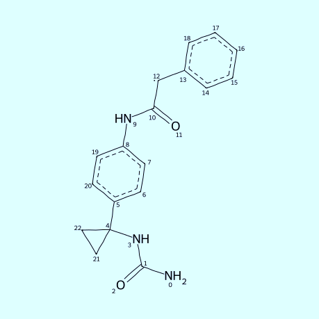 NC(=O)NC1(c2ccc(NC(=O)[CH]c3ccccc3)cc2)CC1